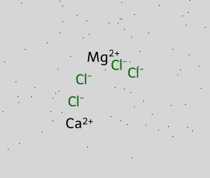 [Ca+2].[Cl-].[Cl-].[Cl-].[Cl-].[Mg+2]